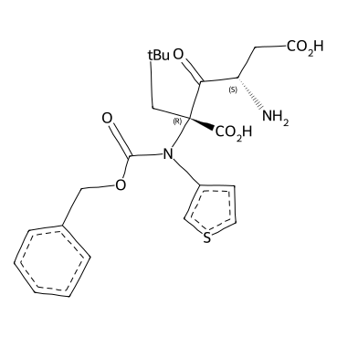 CC(C)(C)C[C@](C(=O)O)(C(=O)[C@@H](N)CC(=O)O)N(C(=O)OCc1ccccc1)c1ccsc1